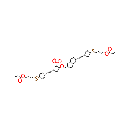 C=CC(=O)OCCCCSc1ccc(C#Cc2ccc(OCc3ccc4cc(C#Cc5ccc(SCCCCOC(=O)C=C)cc5)ccc4c3)c(C(=O)OC)c2)cc1